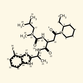 CC[C@H]1CCCCN1C(=O)CC(NC(=O)N(C)CC(C)C)C(=O)NC(C)c1nc2c(F)cccc2[nH]1